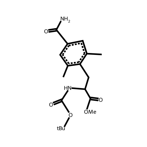 COC(=O)C(Cc1c(C)cc(C(N)=O)cc1C)NC(=O)OC(C)(C)C